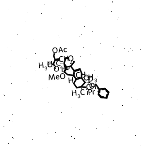 C=C(COC(C)=O)C(C)O[C@H]1[C@H](OC)C[C@@]23COC[C@@]1(C)[C@@H]2CC[C@H]1C3=CC[C@@]2(C)[C@H](C(=O)OCc3ccccc3)[C@@](C)([C@H](C)C(C)C)CC[C@]12C